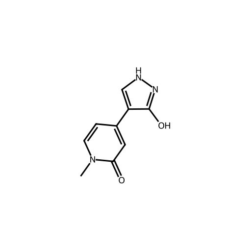 Cn1ccc(-c2c[nH]nc2O)cc1=O